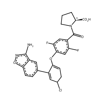 Nc1noc2ccc(C3=CC(Cl)CC=C3Oc3cc(F)c(C(=O)N4CCC[C@H]4C(=O)O)cc3F)cc12